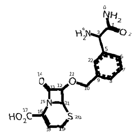 NC(=O)C(N)c1cccc(COC2C(=O)N3C(C(=O)O)=CCSC23)c1